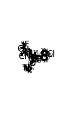 C=C(F)C(=O)N1CCN(c2nc(OC[C@@H]3CCCN3C)nc(CC3(C(C)=O)CCCc4c(Cl)cccc43)c2C)C[C@@H]1CC#N